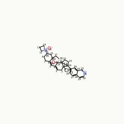 CC12CC=C3C=C4CC[C@@H]([N+]5([O-])CCC5)C[C@]45CC[C@]3(O5)[C@@H]1CCC2c1ccc2ccncc2c1